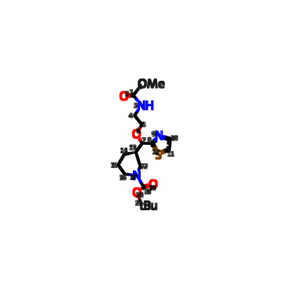 COC(=O)NCCO[C@@H](c1nccs1)[C@@H]1CCCN(C(=O)OC(C)(C)C)C1